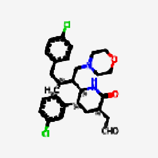 C[C@@H](Cc1ccc(Cl)cc1)C(CN1CCOCC1)[C@H]1NC(=O)[C@@H](CC=O)C[C@@H]1c1cccc(Cl)c1